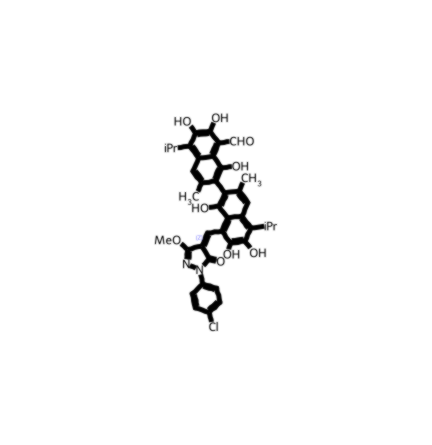 COC1=NN(c2ccc(Cl)cc2)C(=O)/C1=C\c1c(O)c(O)c(C(C)C)c2cc(C)c(-c3c(C)cc4c(C(C)C)c(O)c(O)c(C=O)c4c3O)c(O)c12